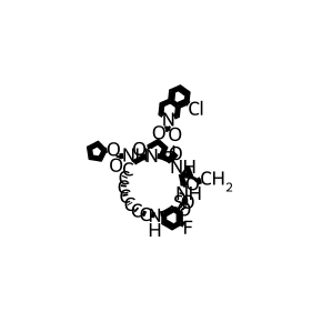 C=C[C@@H]1C[C@@]12NC(=O)[C@@H]1C[C@@H](OC(=O)N3CCc4cccc(Cl)c4C3)CN1C(=O)[C@@H](NC(=O)OC1CCCC1)CCCCCCCNc1ccc(F)cc1S(=O)(=O)NC2=O